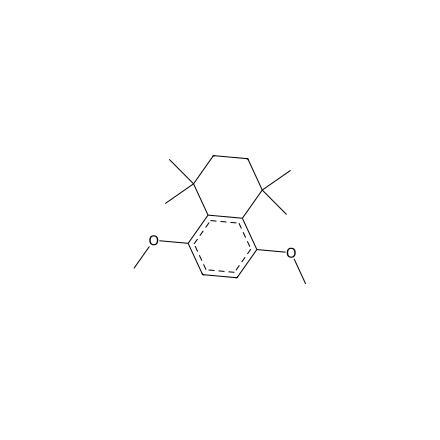 COc1ccc(OC)c2c1C(C)(C)CCC2(C)C